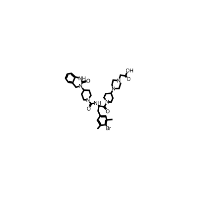 Cc1cc(CC(NC(=O)N2CCC(N3Cc4ccccc4NC3=O)CC2)C(=O)N2CCC(N3CCN(CC(=O)O)CC3)CC2)cc(C)c1Br